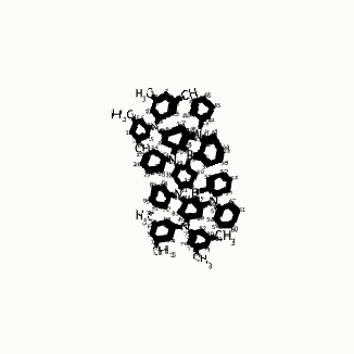 Cc1cc(C)cc(N(c2cc(C)cc(C)c2)c2cc3c4c(c2)N(c2ccccc2)c2cc5c(cc2B4c2ccccc2N3c2ccccc2)B2c3ccccc3N(c3ccccc3)c3cc(N(c4cc(C)cc(C)c4)c4cc(C)cc(C)c4)cc(c32)N5c2ccccc2)c1